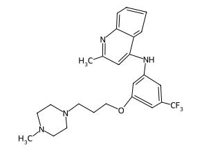 Cc1cc(Nc2cc(OCCCN3CCN(C)CC3)cc(C(F)(F)F)c2)c2ccccc2n1